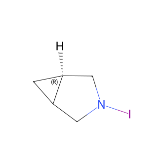 IN1CC2C[C@H]2C1